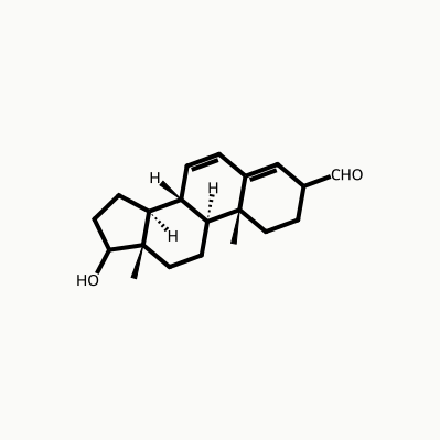 C[C@]12CCC(C=O)C=C1C=C[C@@H]1[C@@H]2CC[C@]2(C)C(O)CC[C@@H]12